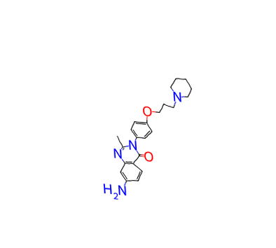 Cc1nc2cc(N)ccc2c(=O)n1-c1ccc(OCCCN2CCCCC2)cc1